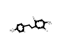 Cc1ccc(CCc2cc(F)c(C)cc2F)cc1